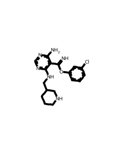 N=C(Oc1cccc(Cl)c1)c1c(N)ncnc1NCC1CCCNC1